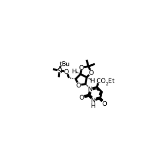 CCOC(=O)c1cc(=O)[nH]c(=O)n1[C@@H]1O[C@H](CO[Si](C)(C)C(C)(C)C)[C@H]2OC(C)(C)O[C@H]21